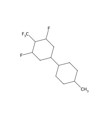 CC1CCC(C2CC(F)C(C(F)(F)F)C(F)C2)CC1